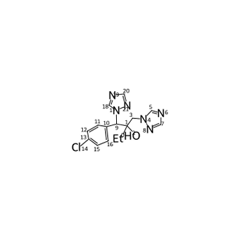 CCC(O)(Cn1cncn1)C(c1ccc(Cl)cc1)n1cncn1